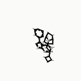 c1ccc(-c2csc3ncnc(N4C5CCC4CC(CNC4CCC4)C5)c23)cc1